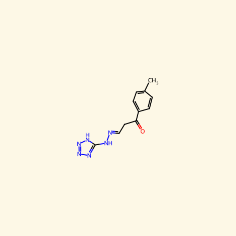 Cc1ccc(C(=O)C/C=N/Nc2nnn[nH]2)cc1